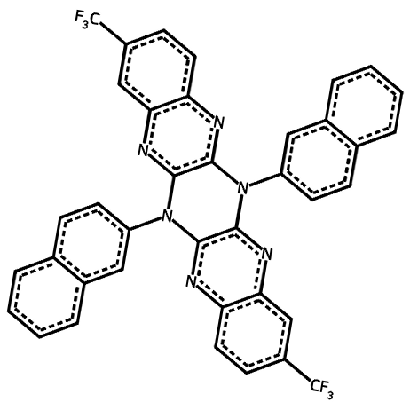 FC(F)(F)c1ccc2nc3c(nc2c1)N(c1ccc2ccccc2c1)c1nc2ccc(C(F)(F)F)cc2nc1N3c1ccc2ccccc2c1